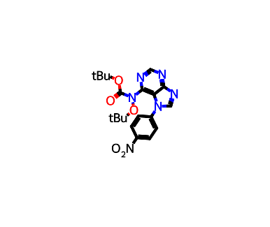 CC(C)(C)OC(=O)N(OC(C)(C)C)c1ncnc2ncn(-c3ccc([N+](=O)[O-])cc3)c12